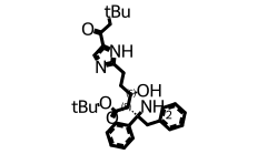 CC(C)(C)CC(=O)c1cnc(CC[C@H](O)[C@@H](C(=O)OC(C)(C)C)C(N)(Cc2ccccc2)c2ccccc2)[nH]1